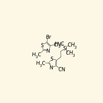 Cc1nc(C#N)c(Br)s1.Cc1nc(C#N)c(CC[Si](C)(C)C)s1